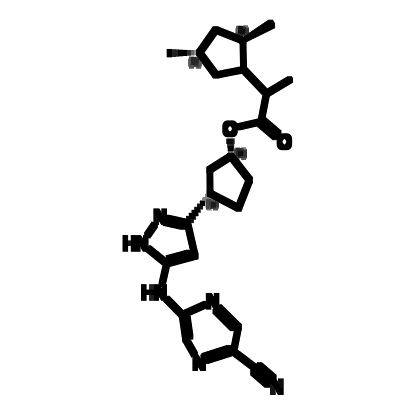 CC(C(=O)O[C@@H]1CC[C@H](c2cc(Nc3cnc(C#N)cn3)[nH]n2)C1)C1C[C@H](C)C[C@H]1C